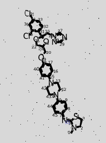 CN1CCS/C1=N\c1ccc(N2CCN(c3ccc(OCC4COC(Cn5cncn5)(c5ccc(Cl)cc5Cl)O4)cc3)CC2)cc1